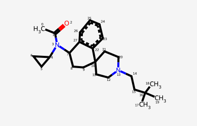 CC(=O)N(C1CC1)C1CCC2(CCN(CCC(C)(C)C)CC2)c2ccccc21